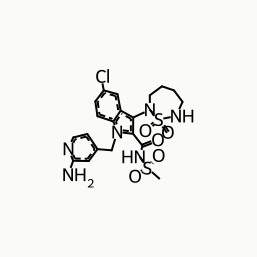 CS(=O)(=O)NC(=O)c1c(N2CCCCNS2(=O)=O)c2cc(Cl)ccc2n1Cc1ccnc(N)c1